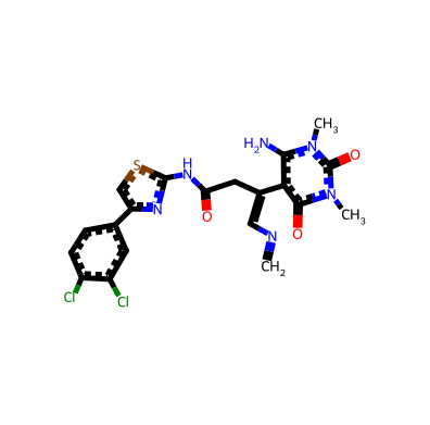 C=N/C=C(/CC(=O)Nc1nc(-c2ccc(Cl)c(Cl)c2)cs1)c1c(N)n(C)c(=O)n(C)c1=O